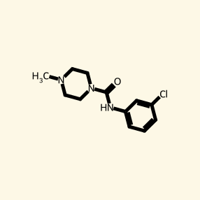 CN1CCN(C(=O)Nc2cccc(Cl)c2)CC1